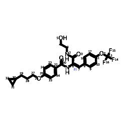 O=C(NCCO)/C(=C\c1ccc(OC(F)(F)F)cc1)NC(=O)c1ccc(OCCCC2CC2)cc1